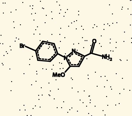 COc1cc(C(N)=O)nn1-c1ccc(Br)cc1